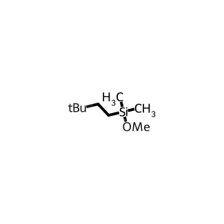 CO[Si](C)(C)CCC(C)(C)C